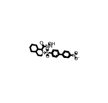 O=C(NO)C1C2CCCCC2CCN1S(=O)(=O)c1ccc(-c2ccc([N+](=O)[O-])cc2)cc1